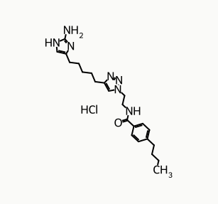 CCCCc1ccc(C(=O)NCCn2cc(CCCCCc3c[nH]c(N)n3)nn2)cc1.Cl